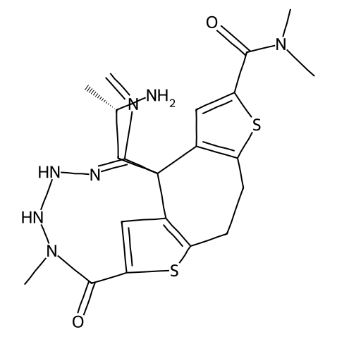 C=N/C1=N\NNN(C)C(=O)c2cc3c(s2)CCc2sc(C(=O)N(C)C)cc2C13C[C@H](C)N